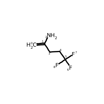 C=C(N)CCC(F)(F)F